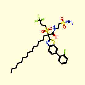 CCCCCCCCCCCCCCC(C(=O)NCCS(N)(=O)=O)(c1nc2ccc(-c3ccccc3F)cc2s1)S(=O)(=O)CCC(F)(F)F